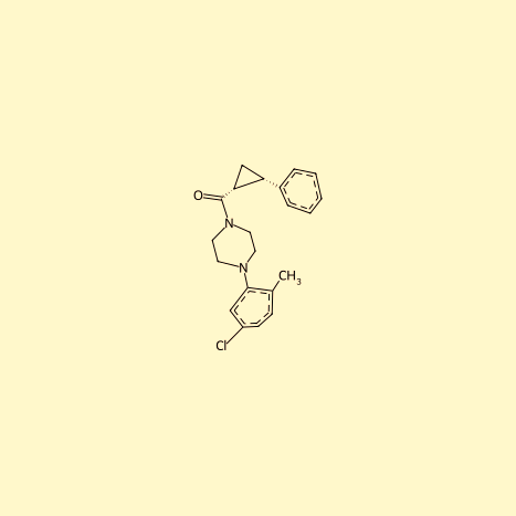 Cc1ccc(Cl)cc1N1CCN(C(=O)[C@@H]2C[C@@H]2c2ccccc2)CC1